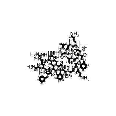 CC(C)C[C@H](NC(=O)[C@H](CCCCN)NC(=O)[C@H](CS)NC(=O)[C@H](Cc1ccccc1)NC(=O)[C@H](CC(C)C)NC(=O)[C@H](CCCCN)NC(=O)[C@H](CS)NC(=O)[C@H](Cc1ccccc1)NC(=O)[C@H](CCCNC(=N)N)NC(=O)[C@H](CCCCN)NC(=O)[C@H](Cc1ccccc1)NC(=O)[C@H](CCCNC(=N)N)NC(=O)CN)C(=O)N[C@@H](CO)C(=O)O